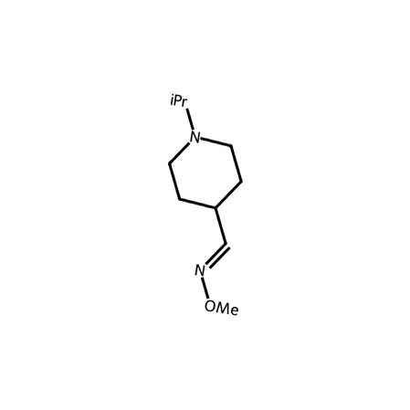 CO/N=C/C1CCN(C(C)C)CC1